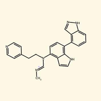 C/N=C/N(CCc1ccncc1)c1ccc(-c2cccc3[nH]ncc23)c2[nH]ccc12